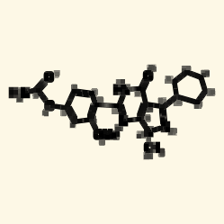 COc1cc(OC(N)=O)ccc1-c1nc2c(c(C3CCCCC3)nn2C)c(=O)[nH]1